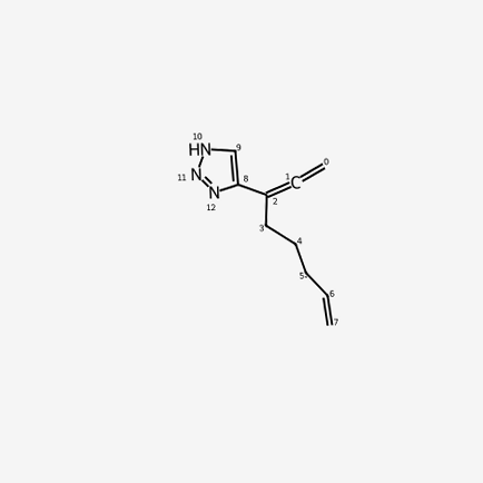 C=C=C(CC[CH]C=C)c1c[nH]nn1